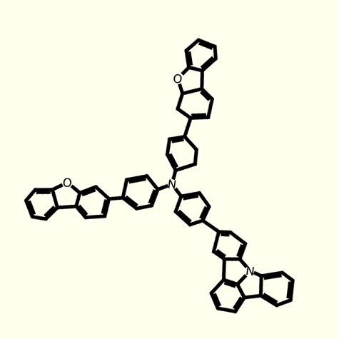 C1=C(C2=CC=C3c4ccccc4OC3C2)CCC(N(c2ccc(-c3ccc4c(c3)oc3ccccc34)cc2)c2ccc(-c3ccc4c(c3)c3cccc5c6ccccc6n4c53)cc2)=C1